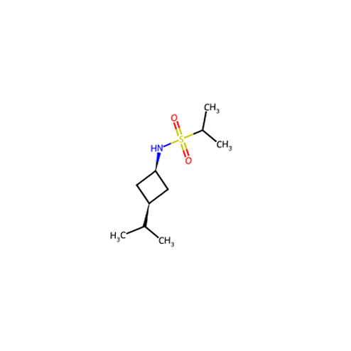 CC(C)S(=O)(=O)N[C@H]1C[C@@H](C(C)C)C1